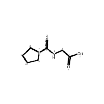 O=C(O)CNC(=O)N1CCCC1